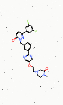 CN1CCN(CCOc2cnc(-c3cccc(Cn4nc(-c5cc(F)cc(F)c5)ccc4=O)c3)nc2)CC1=O